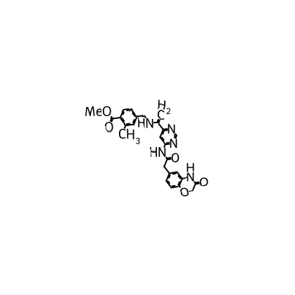 C=C(NCc1ccc(C(=O)OC)c(C)c1)c1cc(NC(=O)Cc2ccc3c(c2)NC(=O)CO3)ncn1